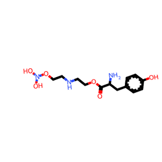 NC(Cc1ccc(O)cc1)C(=O)OCCNCCON(O)O